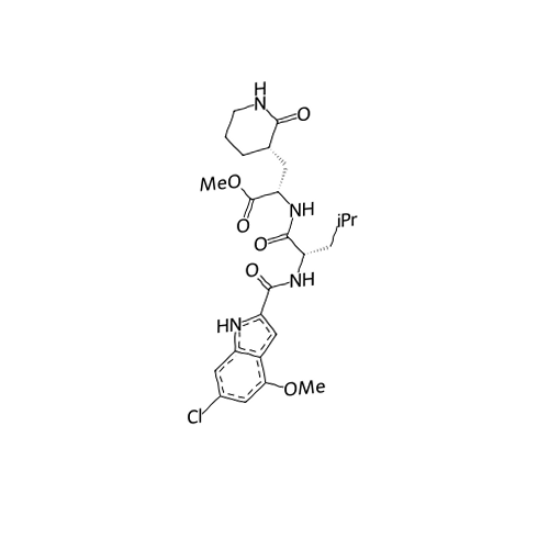 COC(=O)[C@H](C[C@@H]1CCCNC1=O)NC(=O)[C@H](CC(C)C)NC(=O)c1cc2c(OC)cc(Cl)cc2[nH]1